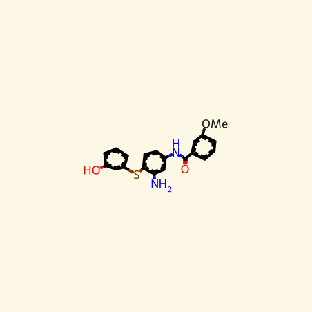 COc1cccc(C(=O)Nc2ccc(Sc3cccc(O)c3)c(N)c2)c1